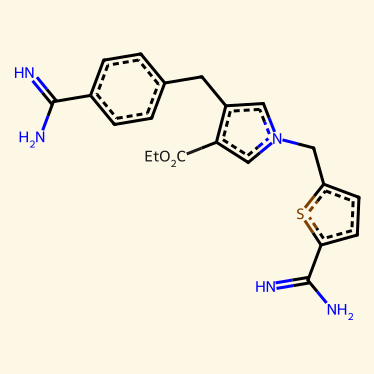 CCOC(=O)c1cn(Cc2ccc(C(=N)N)s2)cc1Cc1ccc(C(=N)N)cc1